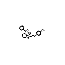 O=C(c1ccccc1)C1C=CC=CC1(O)S(=O)(=O)CC=Cc1ccc(O)cc1